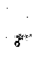 O=C(O)Oc1n[nH]c(-c2ccccc2)n1